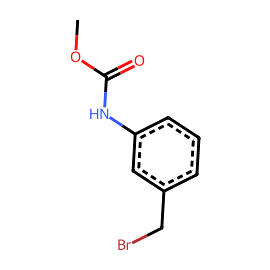 COC(=O)Nc1cccc(CBr)c1